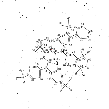 CC(C)(C)c1ccc(N2c3ccc(C(C)(C)C)cc3B3c4cc5c(cc4N(c4cc(-c6ccccc6)c(C(C)(C)C)cc4-c4ccccc4)c4cc(C(C)(C)C)cc2c43)C(C)(C)CCC5(C)C)cc1